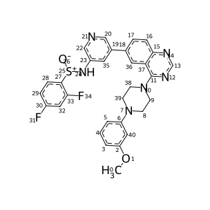 COc1cccc(N2CCN(c3ncnc4ccc(-c5cncc(N[S+]([O-])c6ccc(F)cc6F)c5)cc34)CC2)c1